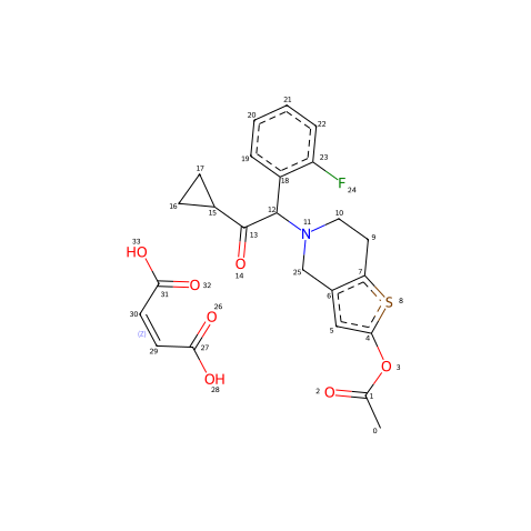 CC(=O)Oc1cc2c(s1)CCN(C(C(=O)C1CC1)c1ccccc1F)C2.O=C(O)/C=C\C(=O)O